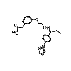 CCC(=NOCCOc1cccc(CC(=O)O)c1)c1ccc(-n2cccn2)cc1